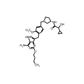 CCCCOc1nc(N)c2[nH]nc(Cc3ccc(CN4CC[C@H](NC(=O)C(O)C5CC5)C4)cc3OC)c2n1